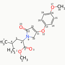 COC(=O)C(CC(C)C)N1CC(Oc2ccc(OC)cc2)=CC1=O